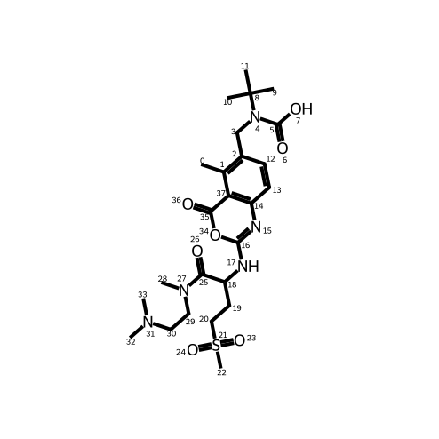 Cc1c(CN(C(=O)O)C(C)(C)C)ccc2nc(NC(CCS(C)(=O)=O)C(=O)N(C)CCN(C)C)oc(=O)c12